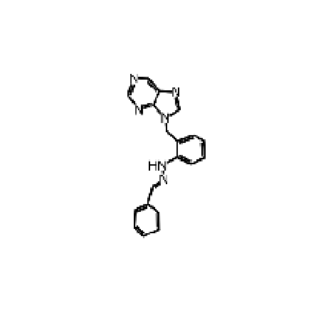 C(=NNc1ccccc1Cn1cnc2cncnc21)c1ccccc1